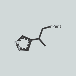 CCCCCCC(C)c1cnsc1